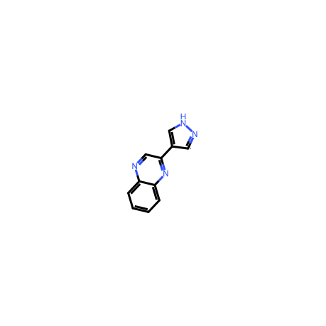 [c]1n[nH]cc1-c1cnc2ccccc2n1